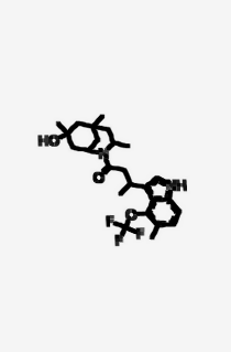 Cc1ccc2[nH]cc(C(C)CC(=O)N3C(C)CC4(C)CC3CC(C)(O)C4)c2c1OC(F)(F)F